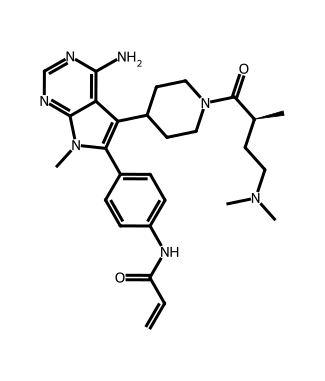 C=CC(=O)Nc1ccc(-c2c(C3CCN(C(=O)[C@@H](C)CCN(C)C)CC3)c3c(N)ncnc3n2C)cc1